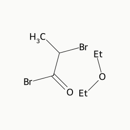 CC(Br)C(=O)Br.CCOCC